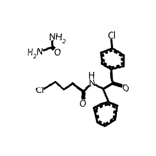 NC(N)=O.O=C(CCCCl)NC(C(=O)c1ccc(Cl)cc1)c1ccccc1